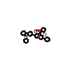 C1=CCC(C2=CCCC3C2OC2C=CCCC2C32c3ccccc3OC3C(C4=CC5C(C=C4)C4=C(CCC=C4)N5C4C=CCCC4)=CC=CC32)C=C1